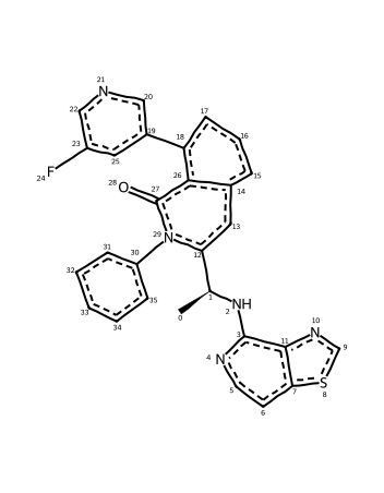 C[C@H](Nc1nccc2scnc12)c1cc2cccc(-c3cncc(F)c3)c2c(=O)n1-c1ccccc1